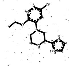 CCOc1nnc(Cl)cc1N1CCOC(c2ncc[nH]2)C1